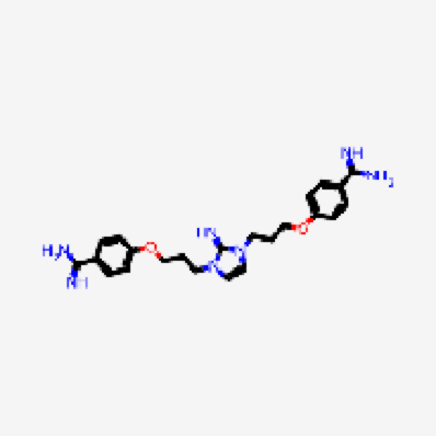 N=C(N)c1ccc(OCCCn2ccn(CCCOc3ccc(C(=N)N)cc3)c2=N)cc1